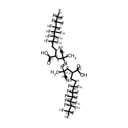 CC(C#N)(CC(CCC(F)(F)C(F)(F)C(F)(F)C(F)(F)C(F)(F)C(F)(F)F)C(=O)O)N=NC(C)(C#N)CC(CCC(F)(F)C(F)(F)C(F)(F)C(F)(F)C(F)(F)C(F)(F)F)C(=O)O